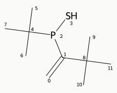 C=C(P(S)C(C)(C)C)C(C)(C)C